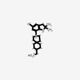 CC1(C)Cc2cc(Cl)cc(N3CCC4(CCC(CC(=O)O)CC4)CC3)c2O1